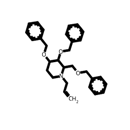 C=CCN1CCC(OCc2ccccc2)C(OCc2ccccc2)C1COCc1ccccc1